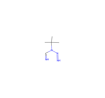 CC(C)(C)N(C=N)N=N